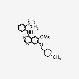 COc1cc2c(Nc3ccccc3P(C)C)ncnc2cc1OCC1CCN(C)CC1